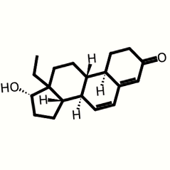 CCC12CC[C@H]3[C@@H](C=CC4=CC(=O)CC[C@@H]43)[C@@H]1CC[C@@H]2O